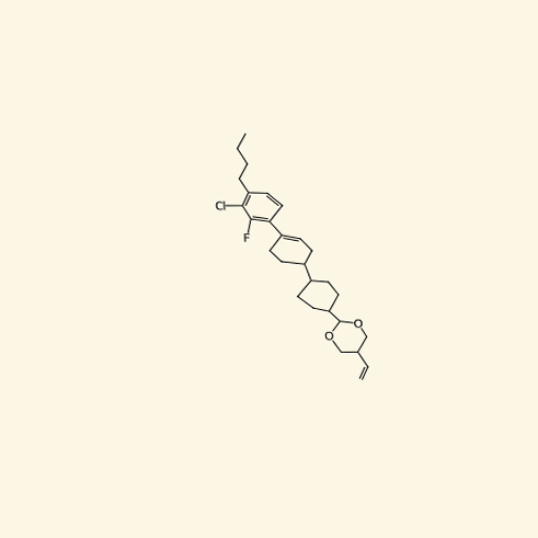 C=CC1COC(C2CCC(C3CC=C(c4ccc(CCCC)c(Cl)c4F)CC3)CC2)OC1